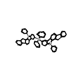 c1ccc(-n2c3ccc([Si](c4ccccc4)(c4ccccc4)c4ccc5c(c4)c4ccc6c(c4n5-c4ccccc4)Cc4ccccc4-6)cc3c3ccc4c(c32)Cc2ccccc2-4)cc1